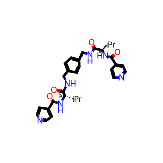 CC(C)[C@H](NC(=O)c1ccncc1)C(=O)NCc1ccc(CNC(=O)[C@H](NC(=O)c2ccncc2)C(C)C)cc1